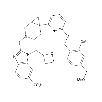 COCc1ccc(COc2cccc(C34CCN(Cc5nc6ccc(C(=O)O)cc6n5CC5CCO5)CC3C4)n2)c(OC)c1